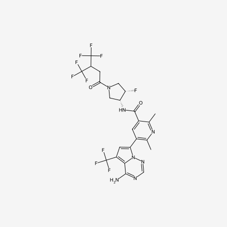 Cc1nc(C)c(-c2cc(C(F)(F)F)c3c(N)ncnn23)cc1C(=O)N[C@@H]1CN(C(=O)CC(C(F)(F)F)C(F)(F)F)C[C@@H]1F